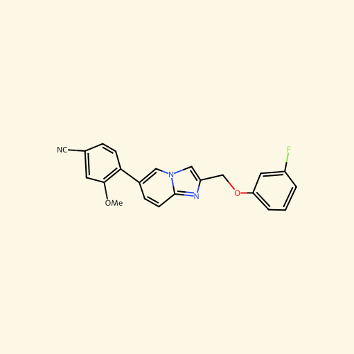 COc1cc(C#N)ccc1-c1ccc2nc(COc3cccc(F)c3)cn2c1